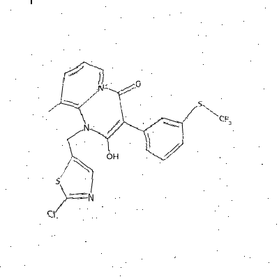 Cc1ccc[n+]2c(=O)c(-c3cccc(SC(F)(F)F)c3)c(O)n(Cc3cnc(Cl)s3)c12